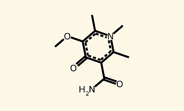 COc1c(C)n(C)c(C)c(C(N)=O)c1=O